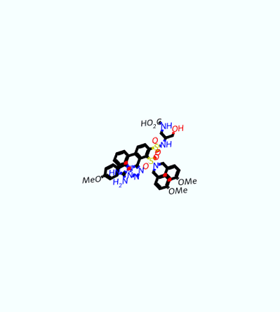 COc1ccc(CN(Cc2ccc(OC)cc2)S(=O)(=O)c2c(S(=O)(=O)NC(CO)CNC(=O)O)ccc(-c3cccc4[nH]c(N)nc34)c2-c2nnnn2Cc2ccc(OC)cc2)cc1